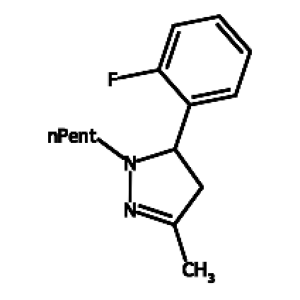 CCCCCN1N=C(C)CC1c1ccccc1F